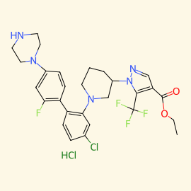 CCOC(=O)c1cnn(C2CCCN(c3cc(Cl)ccc3-c3ccc(N4CCNCC4)cc3F)C2)c1C(F)(F)F.Cl